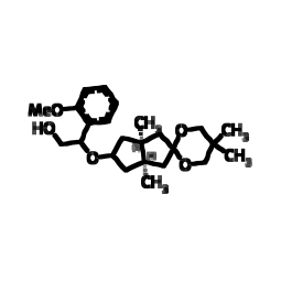 COc1ccccc1C(CO)OC1C[C@@]2(C)CC3(C[C@@]2(C)C1)OCC(C)(C)CO3